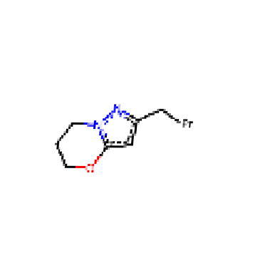 CC(C)Cc1cc2n(n1)CCCO2